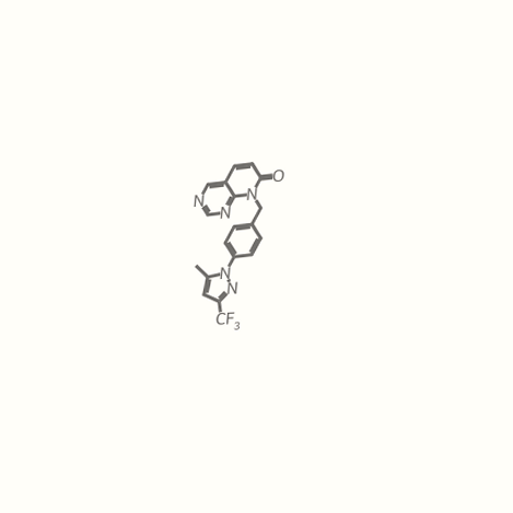 Cc1cc(C(F)(F)F)nn1-c1ccc(Cn2c(=O)ccc3cncnc32)cc1